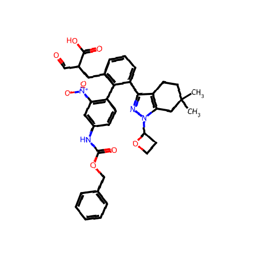 CC1(C)CCc2c(-c3cccc(CC(C=O)C(=O)O)c3-c3ccc(NC(=O)OCc4ccccc4)cc3[N+](=O)[O-])nn(C3CCO3)c2C1